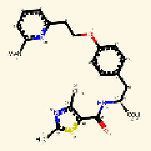 CNc1cccc(CCOc2ccc(C[C@H](NC(=O)c3sc(C)nc3C)C(=O)O)cc2)n1